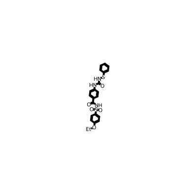 CCOc1ccc(S(=O)(=O)NC(=O)c2ccc(NC(=O)NSc3ccccc3)cc2)cc1